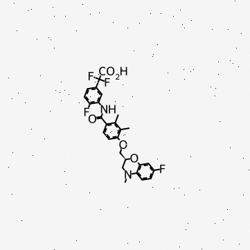 Cc1c(OC[C@@H]2CN(C)c3ccc(F)cc3O2)ccc(C(=O)Nc2cc(C(F)(F)C(=O)O)ccc2F)c1C